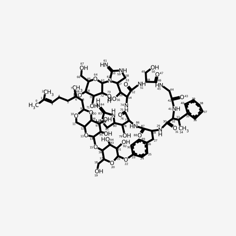 CC(C)=CCCC(C)CC1OCC2OC(OC3C(CO)OC(Oc4ccc(CC5NC(=O)C(C(C)c6ccccc6)NC(=O)CNC(=O)C(CO)NC(=O)C(C(O)C6CNC(=N)N6C6OC(CO)C(O)C(O)C6O)NC(=O)C(C(O)C6CNC(=N)N6)NC5=O)cc4)C(O)C3O)C(O)C(O)C2O1